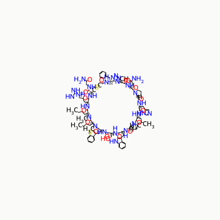 CCCC[C@H]1C(=O)N(C)[C@@H](CCCC)C(=O)N[C@@H](CCCNC(=N)N)C(=O)N[C@H](C(=O)NCC(N)=O)CSCC(=O)N[C@@H](Cc2ccccc2)c2nnnn2[C@@H](C)C(=O)N[C@@H](CC(N)=O)C(=O)N2CCC[C@H]2C(=O)N[C@@H](Cc2cnc[nH]2)C(=O)N[C@@H](CC(C)C)C(=O)N2CCC[C@H]2C(=O)N[C@@H](Cc2c[nH]c3ccccc23)C(=O)N[C@@H](CO)C(=O)N[C@@H](Cc2csc3ccccc23)C(=O)N1C